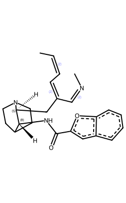 C\C=C/C=C(\C=N/C)C[C@H]1[C@H](NC(=O)c2cc3ccccc3o2)C2CCN1CC2